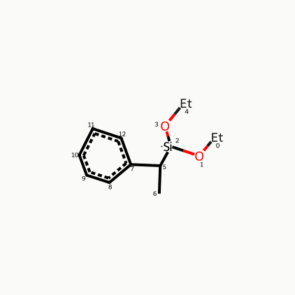 CCO[Si](OCC)C(C)c1ccccc1